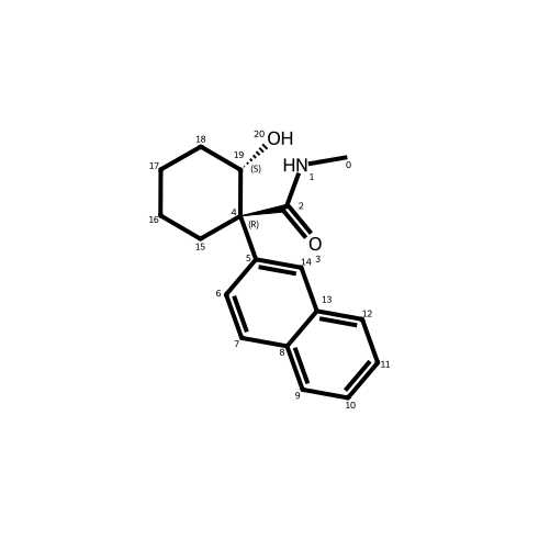 CNC(=O)[C@@]1(c2ccc3ccccc3c2)CCCC[C@@H]1O